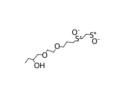 CCC(O)COCCOCCC[S+]([O-])CC[S+](C)[O-]